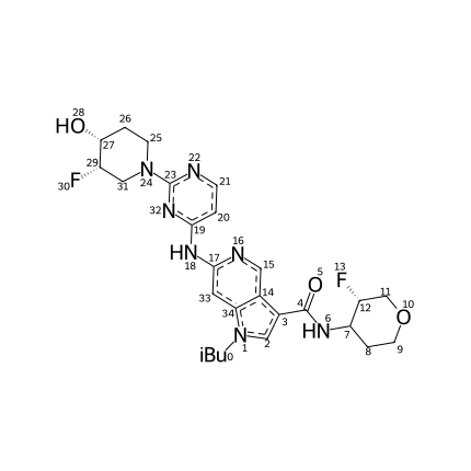 CCC(C)n1cc(C(=O)NC2CCOC[C@H]2F)c2cnc(Nc3ccnc(N4CC[C@@H](O)[C@@H](F)C4)n3)cc21